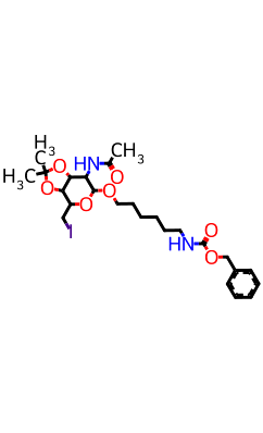 CC(=O)NC1C(OCCCCCCNC(=O)OCc2ccccc2)OC(CI)C2OC(C)(C)OC12